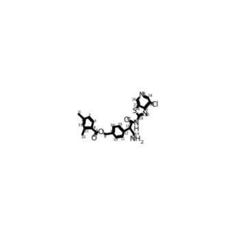 Cc1ccc(C(=O)OCc2ccc(C(CN)C(=O)Nc3nc4c(Cl)cncc4s3)cc2)c(C)c1